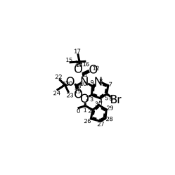 CC(Oc1cc(Br)cnc1N(C(=O)OC(C)(C)C)C(=O)OC(C)(C)C)c1ccccc1